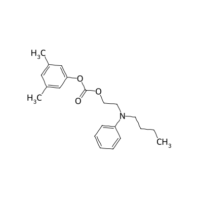 CCCCN(CCOC(=O)Oc1cc(C)cc(C)c1)c1ccccc1